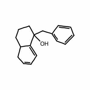 OC1(Cc2ccccc2)CCCC2CC=CC=C21